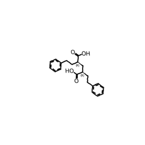 O=C(O)[C@H](CCc1ccccc1)C[C@@H](CCc1ccccc1)C(=O)O